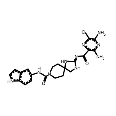 Nc1nc(N)c(C(=O)/N=C2\NCC3(CCN(C(=O)Nc4ccc5[nH]ccc5c4)CC3)N2)nc1Cl